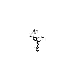 Cc1n[nH]cc1Nc1nccc(-c2ccc3c(c2)CN(CC(C)O)CCC3NC(=O)c2cn(C(C)(C)C)nn2)n1